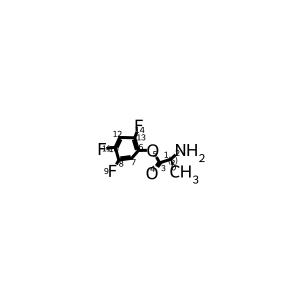 C[C@H](N)C(=O)Oc1cc(F)c(F)cc1F